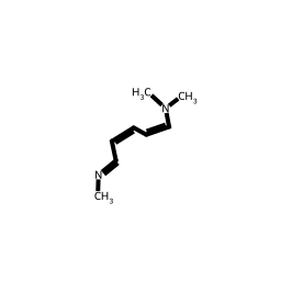 C/N=C/C=C\C=C/N(C)C